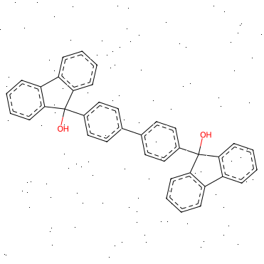 OC1(c2ccc(-c3ccc(C4(O)c5ccccc5-c5ccccc54)cc3)cc2)c2ccccc2-c2ccccc21